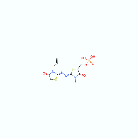 C=CCN1C(=O)CSC1=NN=C1SC(COP(=O)(O)O)C(=O)N1C